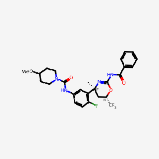 COC1CCN(C(=O)Nc2ccc(F)c([C@]3(C)C[C@@H](C(F)(F)F)OC(NC(=O)c4ccccc4)=N3)c2)CC1